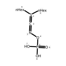 CCCCCCS(=C=NOP(=O)(O)O)CCCCCC